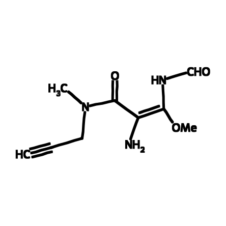 C#CCN(C)C(=O)/C(N)=C(\NC=O)OC